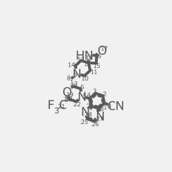 N#Cc1ccc(N2C[C@@H](CN3CCC4(CC3)CC(=O)N4)O[C@@H](C(F)(F)F)C2)c2nccnc12